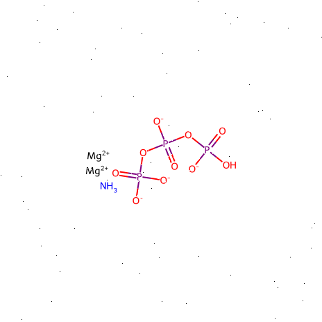 N.O=P([O-])([O-])OP(=O)([O-])OP(=O)([O-])O.[Mg+2].[Mg+2]